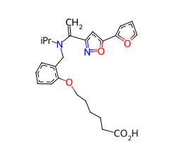 C=C(c1cc(-c2ccco2)on1)N(Cc1ccccc1OCCCCCC(=O)O)C(C)C